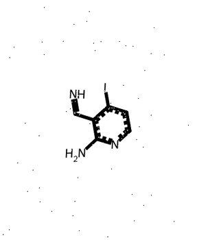 N=Cc1c(I)ccnc1N